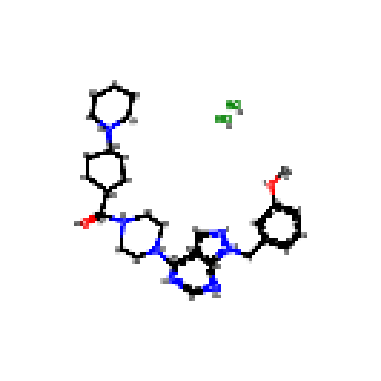 CCOc1cccc(Cn2ncc3c(N4CCN(C(=O)C5CCC(N6CCCCC6)CC5)CC4)ncnc32)c1.Cl.Cl